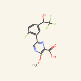 COc1ncc(-c2cc(C(O)C(F)(F)F)ccc2F)nc1C(=O)O